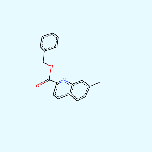 Cc1ccc2ccc(C(=O)OCc3ccccc3)nc2c1